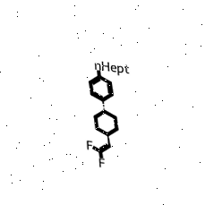 CCCCCCCc1ccc([C@H]2CC[C@H](C=C(F)F)CC2)cc1